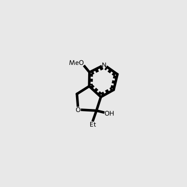 CCC1(O)OCc2c1ccnc2OC